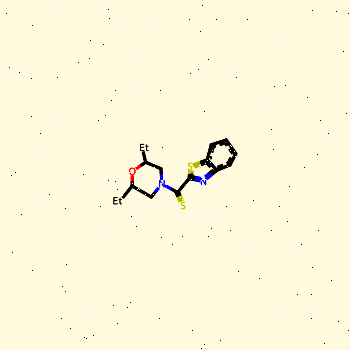 CCC1CN(C(=S)c2nc3ccccc3s2)CC(CC)O1